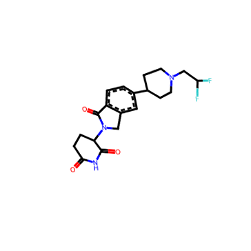 O=C1CCC(N2Cc3cc(C4CCN(CC(F)F)CC4)ccc3C2=O)C(=O)N1